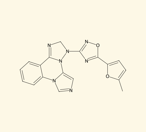 Cc1ccc(-c2nc(N3CN=C4c5ccccc5-n5cncc5N43)no2)o1